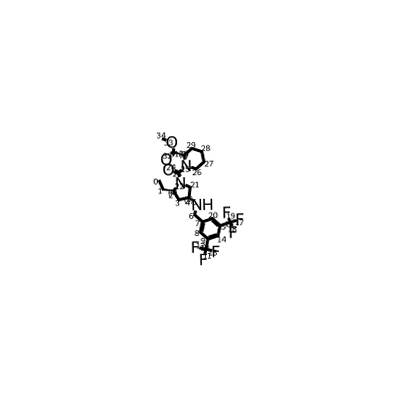 CC[C@@H]1C[C@H](NCc2cc(C(F)(F)F)cc(C(F)(F)F)c2)CN1C(=O)N1CCCC[C@@H]1C(=O)OC